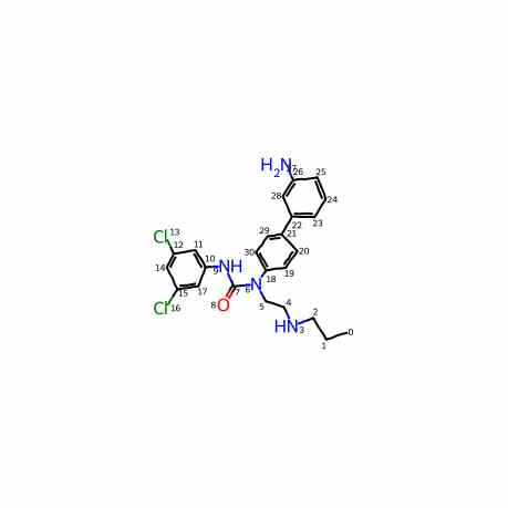 CCCNCCN(C(=O)Nc1cc(Cl)cc(Cl)c1)c1ccc(-c2cccc(N)c2)cc1